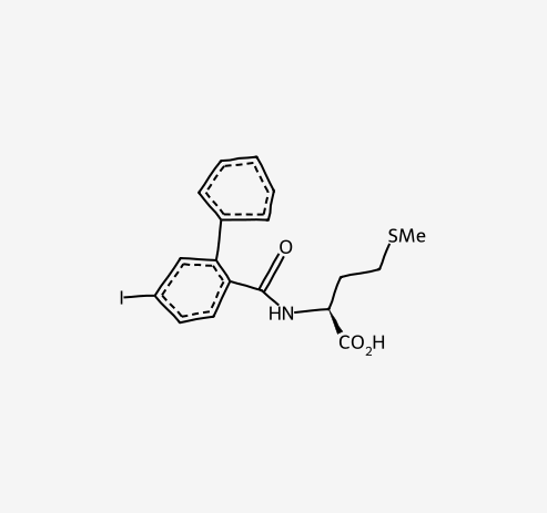 CSCC[C@H](NC(=O)c1ccc(I)cc1-c1ccccc1)C(=O)O